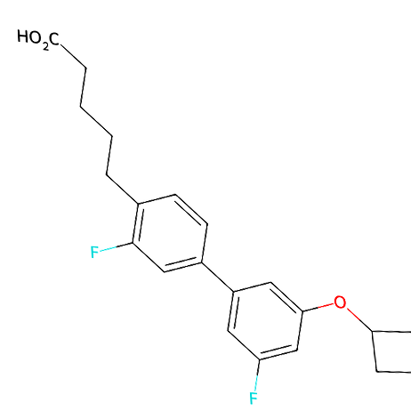 O=C(O)CCCCc1ccc(-c2cc(F)cc(OC3CCC3)c2)cc1F